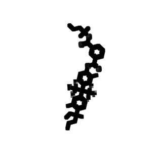 CCCC(C)(C)OC(=O)c1cccc(C(=O)Oc2ccc(C(c3ccc(C(C)(CC)CCC)c(C)c3)(C(F)(F)F)C(F)(F)F)cc2C)c1